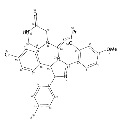 COc1ccc(C2=NC(c3ccc(F)cc3)C(c3ccc(Cl)cc3)N2C(=O)N2CCNC(=O)C2)c(OC(C)C)c1